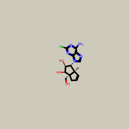 Nc1nc(Cl)nc2c1ncn2[C@H]1[C@H](O)[C@H](O)[C@]2(CO)CC=C[C@H]12